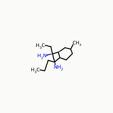 CCC[C@@]1(N)C2CCC(C)CC2[C@@]1(N)CC